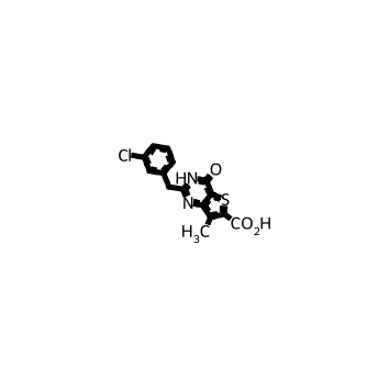 Cc1c(C(=O)O)sc2c(=O)[nH]c(Cc3cccc(Cl)c3)nc12